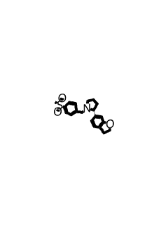 CS(=O)(=O)c1ccc(CN2CCC[C@@H]2c2ccc3c(c2)OCC3)cc1